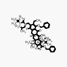 CCc1c(CN(CC(C)C)C(=O)OC(C)(C)C)c(F)c2c(c1OCc1ccccc1)C(=O)C1=C(O)[C@]3(O[Si](C)(C)C(C)(C)C)C(=O)c4c(OCc5ccccc5)noc4[C@@H](N(C)C)[C@@H]3C[C@@H]1C2